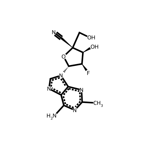 Cc1nc(N)c2ncn([C@@H]3O[C@](C#N)(CO)[C@@H](O)[C@H]3F)c2n1